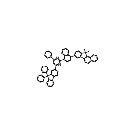 CC1(C)c2ccc(-c3ccc(-c4nc(-c5ccccc5)cc(-c5ccc6c(c5)C(c5ccccc5)(c5ccccc5)c5ccccc5-6)n4)c4ccccc34)cc2-c2ccc3ccccc3c21